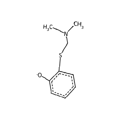 CN(C)CSc1ccccc1[O]